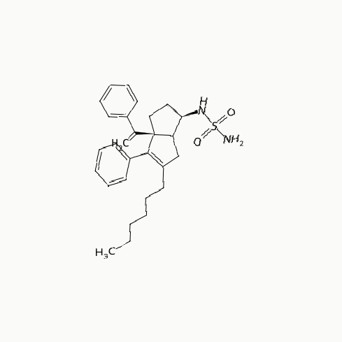 C=C(c1ccccc1)[C@@]12CC[C@@H](NS(N)(=O)=O)C1CC(CCCCCC)=C2c1ccccc1